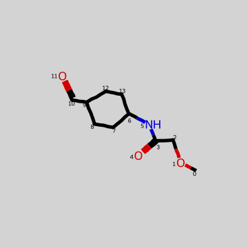 COCC(=O)NC1CCC([C]=O)CC1